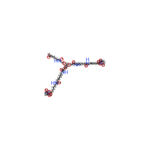 CCC(COCCC(=O)NCCCCCCCC(C)=O)(COCCC(=O)NCCCCCCCC(=O)NCCCCCCCC(=O)ON1C(=O)CCC1=O)COCCC(=O)NCCCCCCCC(=O)NCCCCCCCC(=O)ON1C(=O)CCC1=O